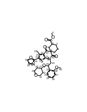 COC(=O)C1CCCC2(C1)C(=O)c1c(sc(-c3ncco3)c1C)N(CC(OC1CCOCC1)c1ccccc1OC)C2=O